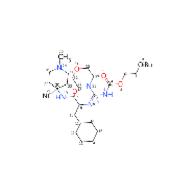 CC(C)COCCOC(=O)N/C(=N/C(CC1CCCCC1)C(=O)NC1(C#N)CCN(C)CC1)N1CCOCC1